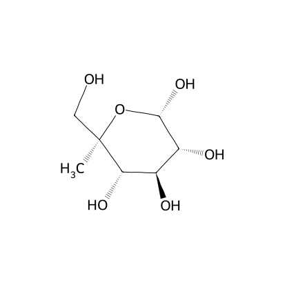 C[C@]1(CO)O[C@H](O)[C@H](O)[C@@H](O)[C@@H]1O